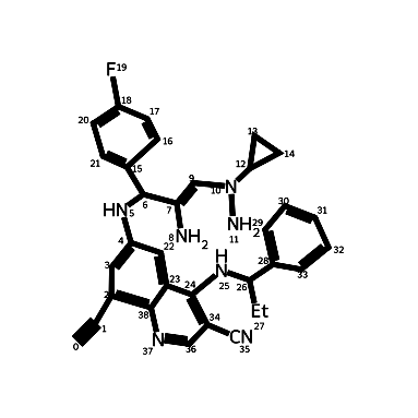 C#Cc1cc(NC(/C(N)=C/N(N)C2CC2)c2ccc(F)cc2)cc2c(NC(CC)c3ccccc3)c(C#N)cnc12